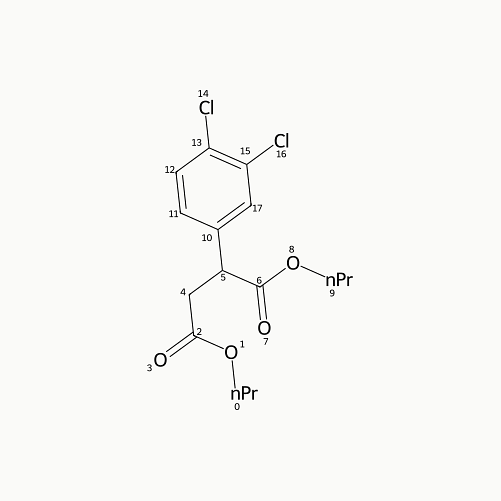 CCCOC(=O)CC(C(=O)OCCC)c1ccc(Cl)c(Cl)c1